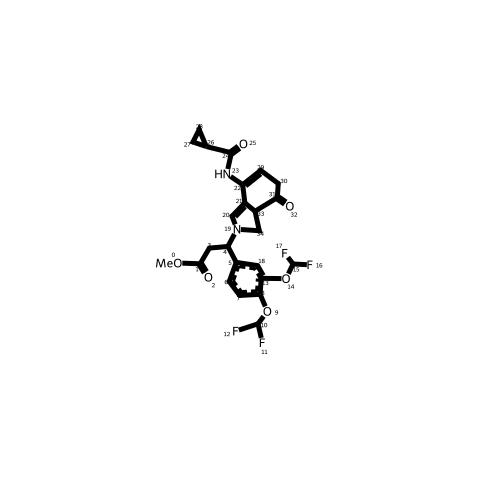 COC(=O)CC(c1ccc(OC(F)F)c(OC(F)F)c1)N1C=C2C(NC(=O)C3CC3)=CCC(=O)C2C1